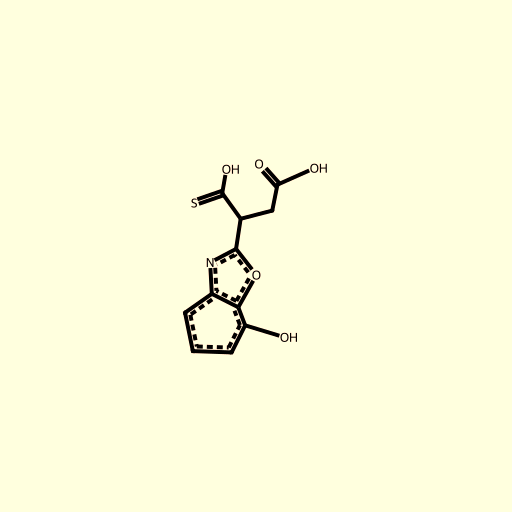 O=C(O)CC(C(O)=S)c1nc2cccc(O)c2o1